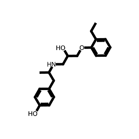 CCc1ccccc1OCC(O)CNC(C)Cc1ccc(O)cc1